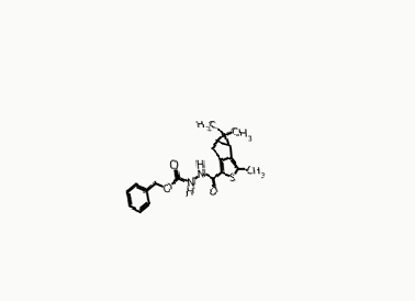 Cc1sc(C(=O)NNC(=O)OCc2ccccc2)c2c1C1C(C2)C1(C)C